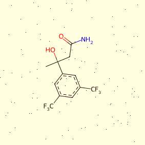 CC(O)(CC(N)=O)c1cc(C(F)(F)F)cc(C(F)(F)F)c1